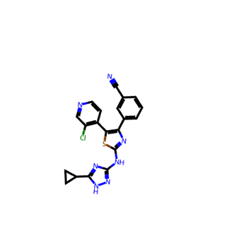 N#Cc1cccc(-c2nc(Nc3n[nH]c(C4CC4)n3)sc2-c2ccncc2Cl)c1